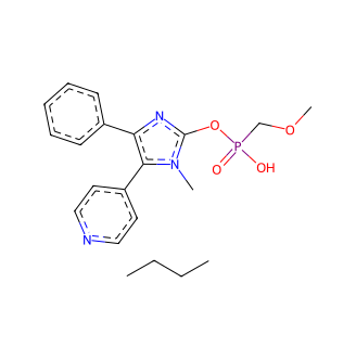 CCCC.COCP(=O)(O)Oc1nc(-c2ccccc2)c(-c2ccncc2)n1C